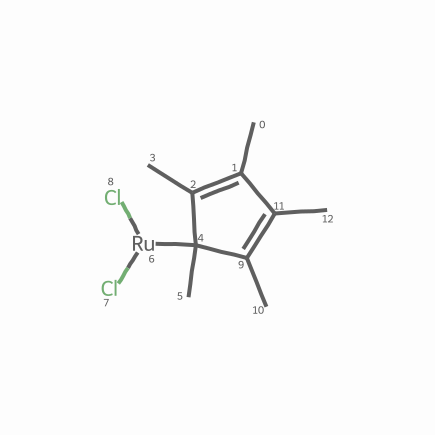 CC1=C(C)[C](C)([Ru]([Cl])[Cl])C(C)=C1C